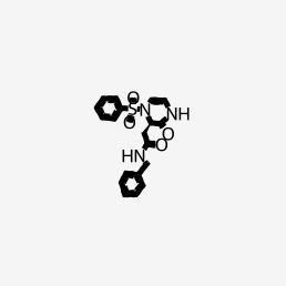 O=C(C[C@@H]1C(=O)NC=CN1S(=O)(=O)c1ccccc1)NCc1ccccc1